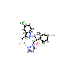 CCc1nn([C@H](C)[C@](O)(Cn2cncn2)c2ccc(F)cc2F)c2ccc(Cl)cc12